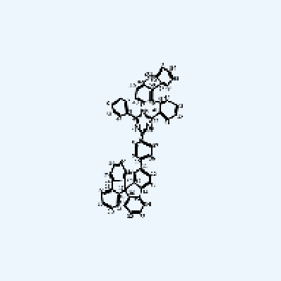 c1ccc(-c2nc(-c3ccc(-c4ccc5c(c4)C4(c6ccccc6-c6ccccc64)c4ccccc4-5)cc3)nc(-c3ccccc3-c3cccc4sc5ccccc5c34)n2)cc1